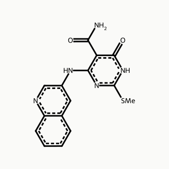 CSc1nc(Nc2cnc3ccccc3c2)c(C(N)=O)c(=O)[nH]1